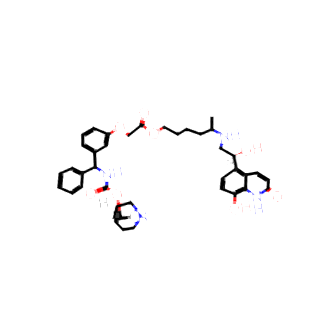 CC(CCCCOC(=O)COc1cccc(C(NC(=O)O[C@H]2CN3CCC2CC3)c2ccccc2)c1)NC[C@@H](O)c1ccc(O)c2[nH]c(=O)ccc12